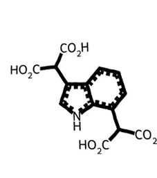 O=C(O)C(C(=O)O)c1c[nH]c2c(C(C(=O)O)C(=O)O)cccc12